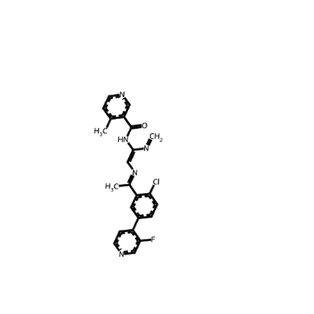 C=N/C(=C\N=C(/C)c1cc(-c2ccncc2F)ccc1Cl)NC(=O)c1cnccc1C